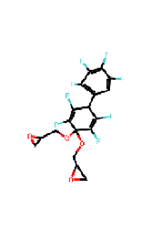 FC1=C(F)C(OCC2CO2)(OCC2CO2)C(F)=C(F)C1c1cc(F)c(F)c(F)c1F